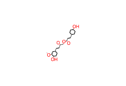 COc1cc(C=CC(=O)COC(=O)C=Cc2ccc(O)cc2)ccc1O